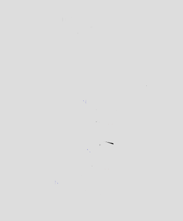 CCC[C@H]1N(C(=O)c2cnccc2C(F)(F)F)CCC[C@@]1(Oc1csc(C(F)(F)F)c1)C(=O)N1CCC(c2ccccc2OCC(C)(C)C(=O)O)CC1